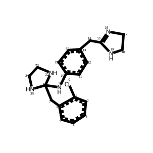 Clc1ccccc1CC1(Nc2ccc(CC3=NCCN3)cc2)NCCN1